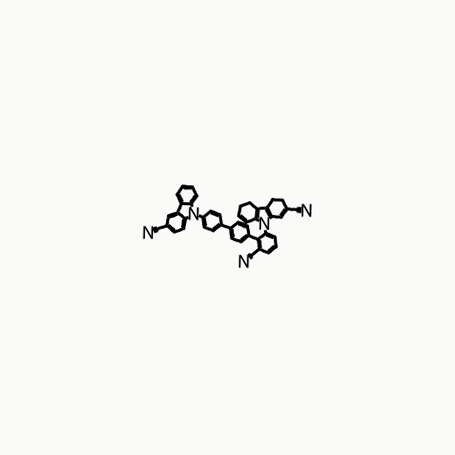 N#CC1=Cc2c(c3c(n2-c2cccc(C#N)c2-c2ccc(-c4ccc(-n5c6ccccc6c6cc(C#N)ccc65)cc4)cc2)C=CCC3)CC1